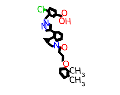 Cc1cccc(OCCCC(=O)N2CC3CC3c3c(-c4cnn(Cc5cc(C(=O)O)ccc5Cl)c4)cccc32)c1C